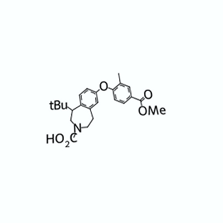 COC(=O)c1ccc(Oc2ccc3c(c2)CCN(C(=O)O)CC3C(C)(C)C)c(C)c1